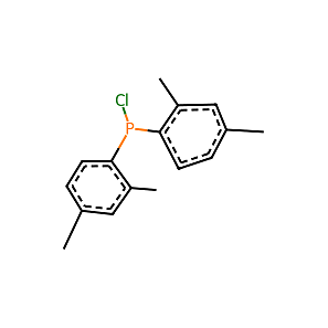 Cc1ccc(P(Cl)c2ccc(C)cc2C)c(C)c1